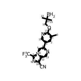 Cc1cc(-c2cn3c(C(F)(F)F)nc(C#N)c3cn2)cnc1OCC(C)(C)P